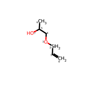 C=C[SiH2]OCC(C)O